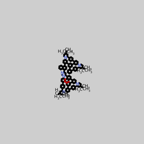 C=N/C(=C\C(=C/C)C(C)(C)C)c1ccc(-c2ccccc2-c2cc(-c3ccccc3-c3ccc(-c4cc(C(C)(C)C)ccn4)cc3)cc(-c3ccccc3-c3ccc(-c4cc(-c5ccc(-c6ccccc6-c6cc(-c7ccccc7-c7ccc(-c8cc(C(C)(C)C)ccn8)cc7)cc(-c7ccccc7-c7ccc(-c8cc(C(C)(C)C)ccn8)cc7)c6)c6ccccc56)ncn4)c4ccccc34)c2)cc1